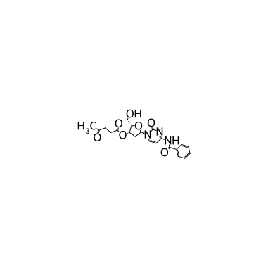 CC(=O)CCC(=O)O[C@H]1C[C@H](n2ccc(NC(=O)c3ccccc3)nc2=O)O[C@H]1CO